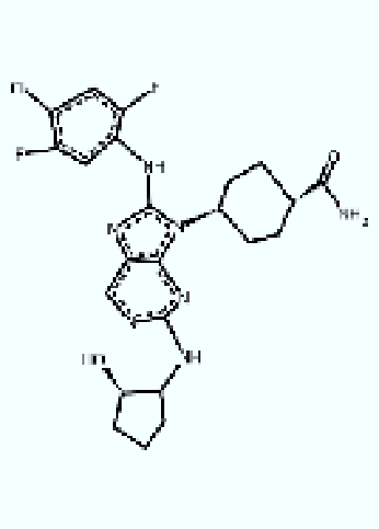 NC(=O)[C@H]1CC[C@@H](n2c(Nc3cc(F)c(Cl)cc3F)nc3cnc(NC4CCC[C@H]4O)nc32)CC1